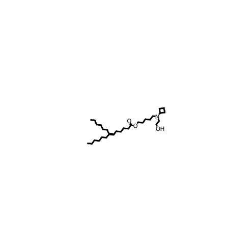 CCCCCCC(=CCCCCC(=O)OCCCCCN(CCO)C1CCC1)CCCCCC